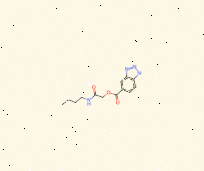 CCCCNC(=O)COC(=O)c1ccc2c(c1)N=N[N]2